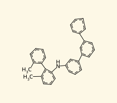 Cc1ccccc1-c1c(C)cccc1Nc1cccc(-c2cccc(-c3ccccc3)c2)c1